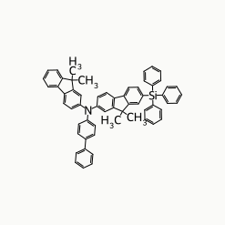 CC1(C)c2ccccc2-c2ccc(N(c3ccc(-c4ccccc4)cc3)c3ccc4c(c3)C(C)(C)c3cc([Si](c5ccccc5)(c5ccccc5)c5ccccc5)ccc3-4)cc21